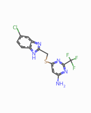 Nc1cc(SCc2nc3cc(Cl)ccc3[nH]2)nc(C(F)(F)F)n1